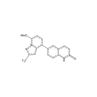 COc1ccc(-c2ccc3[nH]c(=O)ccc3c2)c2cc(C(F)(F)F)nn12